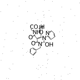 O=C(O)CNC(=O)C1=C(O)N(c2ccccn2)C(O)N(Cc2ccccc2)C1=O